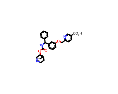 O=C(NC(c1ccccc1)c1cccc(OCc2ccc(C(=O)O)cn2)c1)OC1CN2CCC1CC2